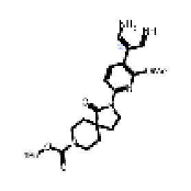 COc1nc(N2CCC3(CCN(C(=O)OC(C)(C)C)CC3)C2=O)ccc1/C(C=N)=C/N